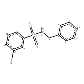 O=S(=O)(NCc1ccncc1)c1cccc(F)c1